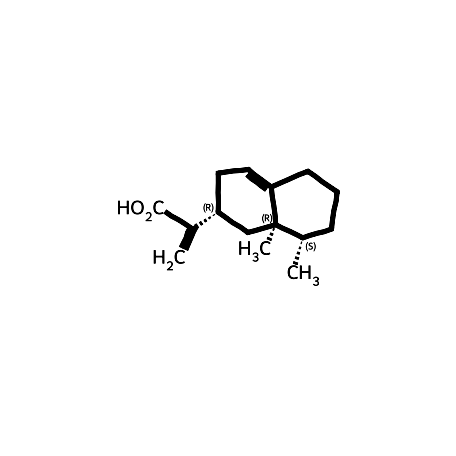 C=C(C(=O)O)[C@@H]1CC=C2CCC[C@H](C)[C@@]2(C)C1